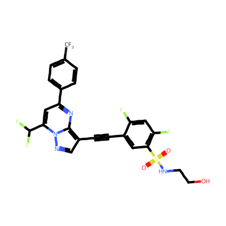 O=S(=O)(NCCO)c1cc(C#Cc2cnn3c(C(F)F)cc(-c4ccc(C(F)(F)F)cc4)nc23)c(F)cc1F